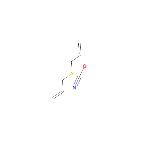 C=CCSCC=C.N#CO